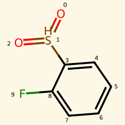 O=[SH](=O)c1ccccc1F